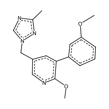 COc1cccc(-c2cc(Cn3cnc(C)n3)cnc2OC)c1